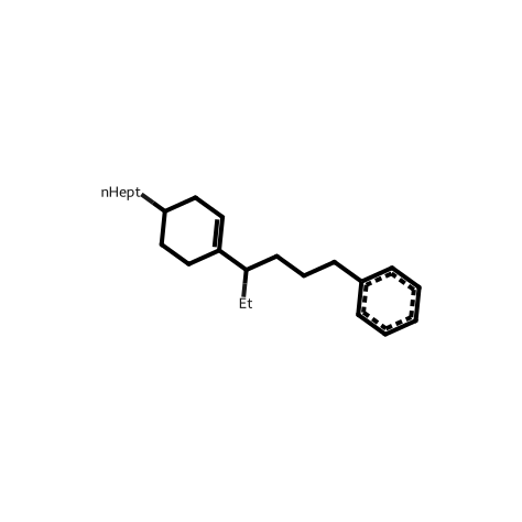 CCCCCCCC1CC=C(C(CC)CCCc2ccccc2)CC1